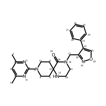 Cc1cc(C)nc(N2CCC3(CC2)NCCN(Cc2nocc2-c2ccccc2)C3=O)n1